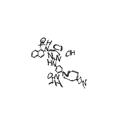 C=CC(=O)Nc1cc(Nc2ncc(Cl)c(Nc3ccc4ccccc4c3P(C)(C)=O)n2)ccc1N1CCC2(CC1)CC(N(C)C)C2.Cl